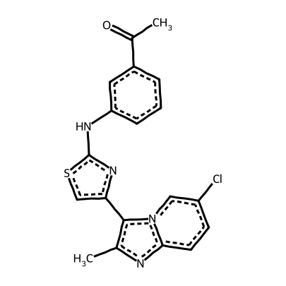 CC(=O)c1cccc(Nc2nc(-c3c(C)nc4ccc(Cl)cn34)cs2)c1